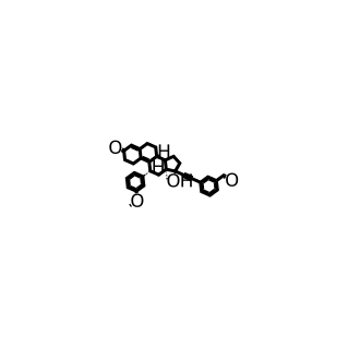 COc1cccc([C@H]2C[C@@]3(C)[C@@H](CC[C@@]3(O)C#Cc3cccc(C=O)c3)[C@@H]3CCC4=CC(=O)CCC4=C32)c1